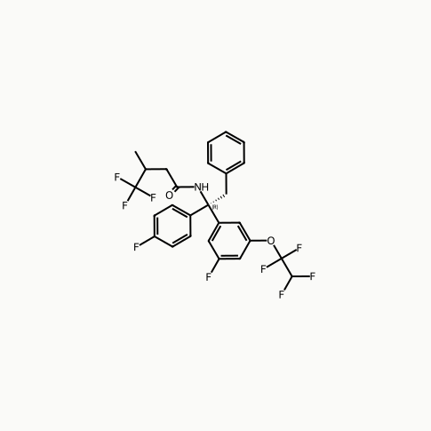 CC(CC(=O)N[C@](Cc1ccccc1)(c1ccc(F)cc1)c1cc(F)cc(OC(F)(F)C(F)F)c1)C(F)(F)F